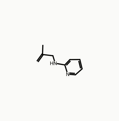 C=C(C)CNc1ccccn1